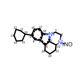 O=NN1CCn2c3c(c4cc(C5CCCCC5)ccc42)CCCC31